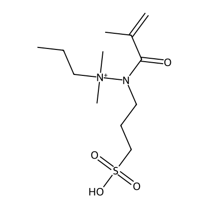 C=C(C)C(=O)N(CCCS(=O)(=O)O)[N+](C)(C)CCC